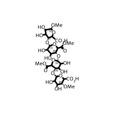 COC(=O)C1O[C@H](O[C@H]2C(C(=O)OC)O[C@H](O[C@H]3C(C(=O)O)O[C@H](OC)C(O)C3O)C(O)C2O)C(O)C(O)[C@H]1O[C@H]1OC(C(=O)O)[C@H](OC)C(O)C1O